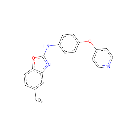 O=[N+]([O-])c1ccc2oc(Nc3ccc(Oc4ccncc4)cc3)nc2c1